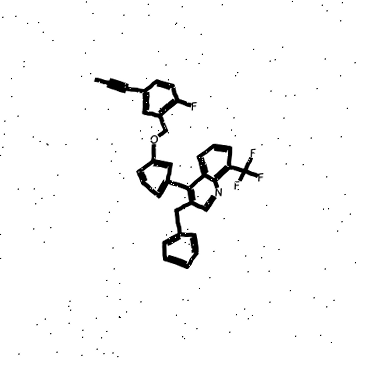 CC#Cc1ccc(F)c(COc2cccc(-c3c(Cc4ccccc4)cnc4c(C(F)(F)F)cccc34)c2)c1